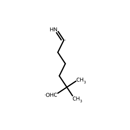 CC(C)([C]=O)CCC[C]=N